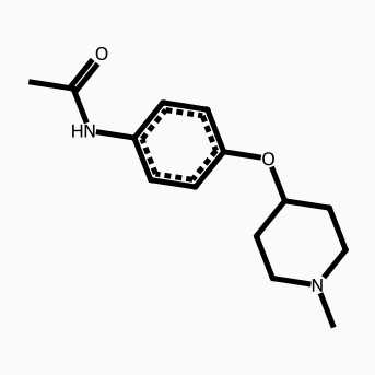 CC(=O)Nc1ccc(OC2CCN(C)CC2)cc1